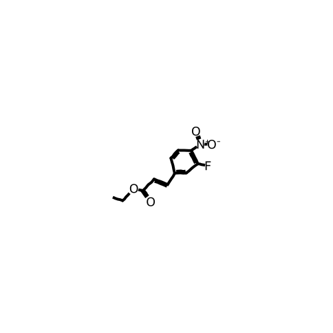 CCOC(=O)/C=C/c1ccc([N+](=O)[O-])c(F)c1